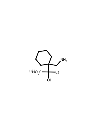 CCC(O)(C(=O)O)C1(CN)CCCCC1.Cl